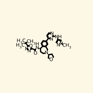 Cn1cc(Nc2nccc(-c3ccc4c(c3)CN([C@@H]3CCOC3)CC[C@H]4NC(=O)c3nnc(C(C)(C)C)o3)n2)cn1